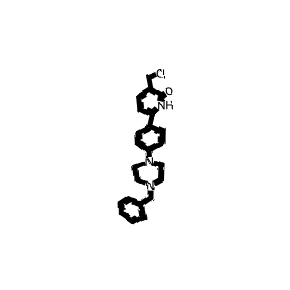 O=c1[nH]c(-c2ccc(N3CCN(Cc4ccccc4)CC3)cc2)ccc1CCl